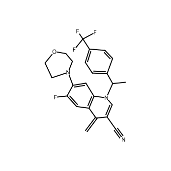 C=C1C(C#N)=CN(C(C)c2ccc(C(F)(F)F)cc2)c2cc(N3CCOCC3)c(F)cc21